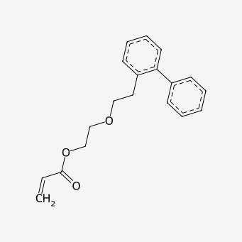 C=CC(=O)OCCOCCc1ccccc1-c1ccccc1